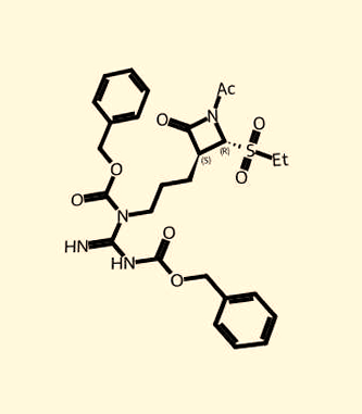 CCS(=O)(=O)[C@@H]1[C@@H](CCCN(C(=N)NC(=O)OCc2ccccc2)C(=O)OCc2ccccc2)C(=O)N1C(C)=O